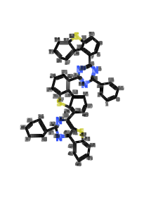 c1ccc(-c2nc(-c3cccc4sc5ccccc5c34)nc(-c3cccc4sc5c(-c6nc(-c7ccccc7)nc7c6sc6ccccc67)cccc5c34)n2)cc1